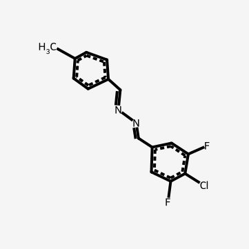 Cc1ccc(/C=N/N=C/c2cc(F)c(Cl)c(F)c2)cc1